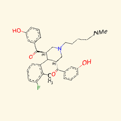 CNCCCCN1C[C@H](C(=O)c2cccc(O)c2)C(c2cccc(F)c2C)[C@@H](C(=O)c2cccc(O)c2)C1